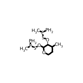 CC1CCOC(OSP(C)P)[C@@H]1OSP(C)P